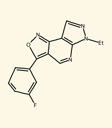 CCn1ncc2c3noc(-c4cccc(F)c4)c3cnc21